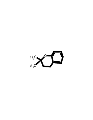 CC1(C)C[C]c2ccccc2O1